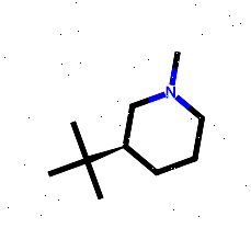 CN1CCC[C@@H](C(C)(C)C)C1